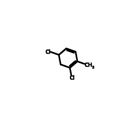 CC1=C(Cl)CC(Cl)C=C1